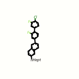 CCCCCCCc1ccc2cc(-c3ccc(-c4ccc(Cl)c(F)c4)c(F)c3)ccc2c1